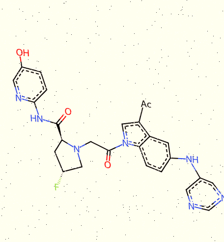 CC(=O)c1cn(C(=O)CN2C[C@H](F)C[C@H]2C(=O)Nc2ccc(O)cn2)c2ccc(Nc3cncnc3)cc12